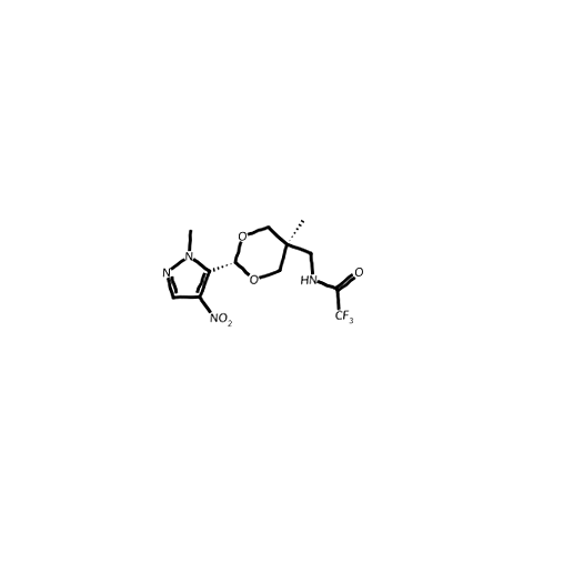 Cn1ncc([N+](=O)[O-])c1[C@H]1OC[C@](C)(CNC(=O)C(F)(F)F)CO1